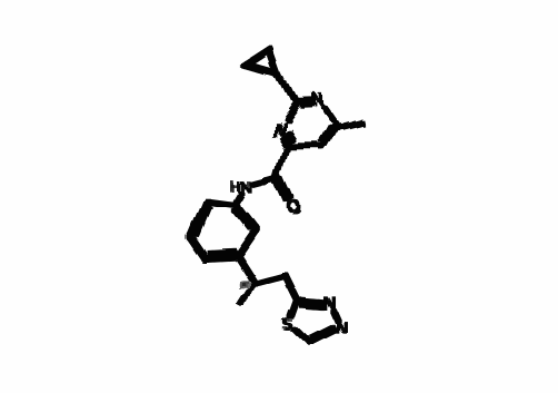 Cc1cc(C(=O)Nc2cccc([C@H](C)Cc3nncs3)c2)nc(C2CC2)n1